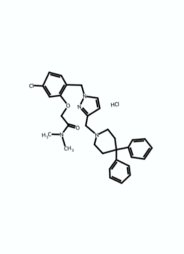 CN(C)C(=O)COc1cc(Cl)ccc1Cn1ccc(CN2CCC(c3ccccc3)(c3ccccc3)CC2)n1.Cl